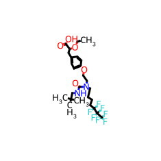 CCOC(Cc1ccc(OCCN(CCCCC(F)(F)C(F)(F)C(F)(F)F)C(=O)NCC(C)(C)C)cc1)C(=O)O